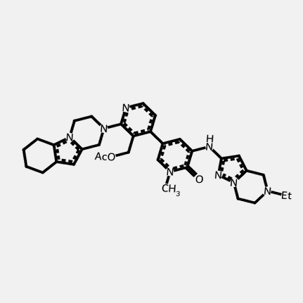 CCN1CCn2nc(Nc3cc(-c4ccnc(N5CCn6c(cc7c6CCCC7)C5)c4COC(C)=O)cn(C)c3=O)cc2C1